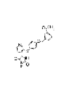 CC(=O)c1cccc(COc2ccc(Sc3cnccc3C3NC(=O)NC3=O)cc2)c1